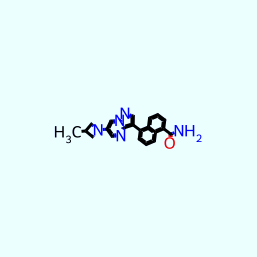 CC1CN(c2cnc3c(-c4cccc5c(C(N)=O)cccc45)cnn3c2)C1